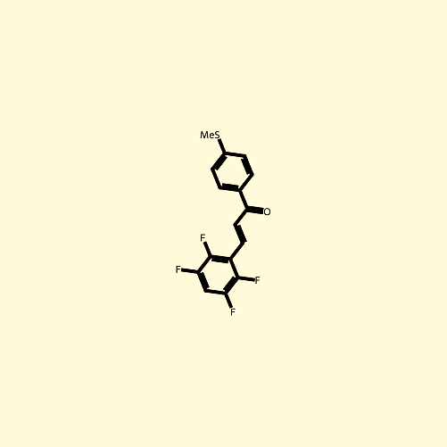 CSc1ccc(C(=O)C=Cc2c(F)c(F)cc(F)c2F)cc1